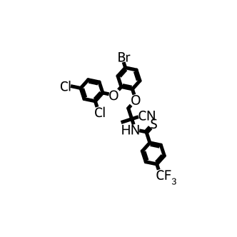 CC(C#N)(COc1ccc(Br)cc1Oc1ccc(Cl)cc1Cl)NC(=S)c1ccc(C(F)(F)F)cc1